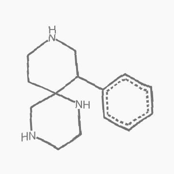 c1ccc(C2CNCCC23CNCCN3)cc1